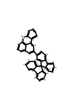 c1ccc2c(c1)Oc1cccc3cc(-c4ccc5c(c4)C4(c6ccccc6-c6ccccc64)c4ccccc4-5)cc-2c13